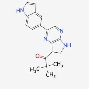 CC(C)(C)C(=O)C1CNc2ncc(-c3ccc4[nH]ccc4c3)nc21